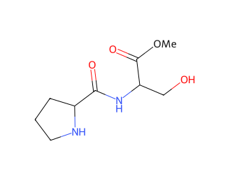 COC(=O)C(CO)NC(=O)C1CCCN1